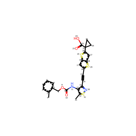 Cc1ccccc1COC(=O)Nc1c(C#Cc2cc3sc(C4(C(=O)O)CC4)cc3s2)nsc1C